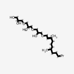 CC(=CCOCC(O)COCC(O)COCC(O)CO)CCCC(C)CCCC(C)C